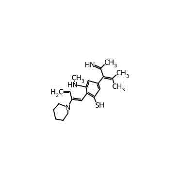 C=C/C(=C\c1c(S)cc(C(C(C)=N)=C(C)C)cc1NC)N1CCCCC1